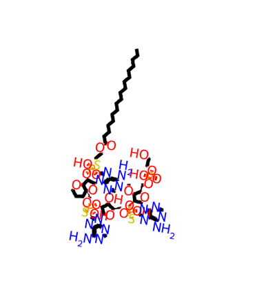 CCCCCCCCCCCCCCCCCC(=O)OCCSP(=O)(O)O[C@H]1C2OCCC[C@]2(COP(O)(=S)O[C@H]2C(O)[C@@H](COP(O)(=S)O[C@H]3C(OC)[C@@H](COP(=O)(O)OCCO)O[C@H]3n3cnc4c(N)ncnc43)O[C@H]2n2cnc3c(N)ncnc32)O[C@H]1n1cnc2c(N)ncnc21